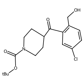 CC(C)(C)OC(=O)N1CCC(C(=O)c2cc(Cl)ccc2CO)CC1